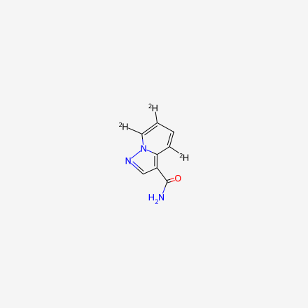 [2H]c1cc([2H])c2c(C(N)=O)cnn2c1[2H]